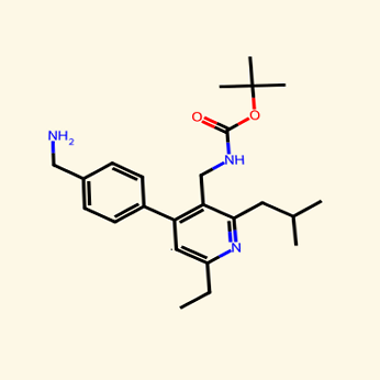 CCc1[c]c(-c2ccc(CN)cc2)c(CNC(=O)OC(C)(C)C)c(CC(C)C)n1